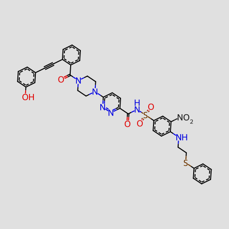 O=C(NS(=O)(=O)c1ccc(NCCSc2ccccc2)c([N+](=O)[O-])c1)c1ccc(N2CCN(C(=O)c3ccccc3C#Cc3cccc(O)c3)CC2)nn1